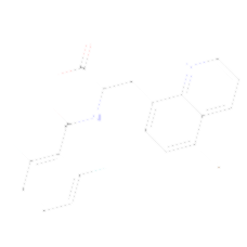 O=C(NC(Cc1ccc(Br)c2cccnc12)C(=O)O)c1c(F)cccc1F